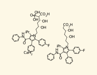 CC(C)c1c(C(=O)Nc2ccccc2)c(-c2ccccc2)c(-c2ccc(F)cc2)n1CC[C@@H](O)C[C@@H](O)C(C(=O)O)P(=O)(O)O.CC(C)c1c(C(=O)Nc2ccccc2)c(-c2ccccc2)c(-c2ccc(F)cc2)n1CC[C@@H](O)C[C@@H](O)CC(=O)O.[CaH2]